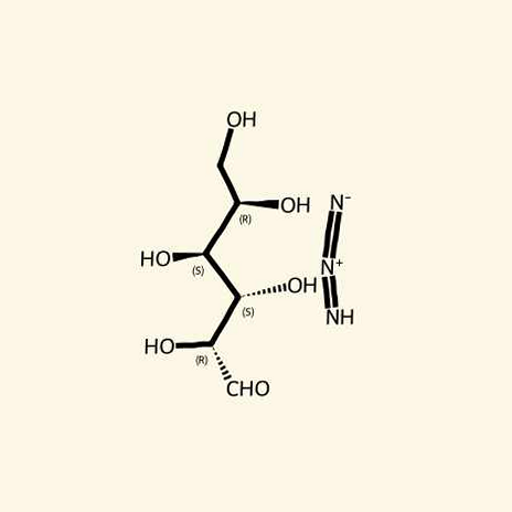 O=C[C@H](O)[C@@H](O)[C@@H](O)[C@H](O)CO.[N-]=[N+]=N